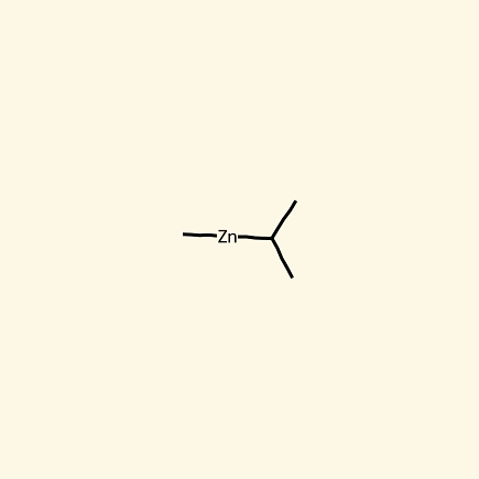 [CH3][Zn][CH](C)C